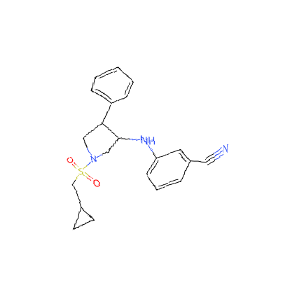 N#Cc1cccc(NC2CN(S(=O)(=O)CC3CC3)CC2c2ccccc2)c1